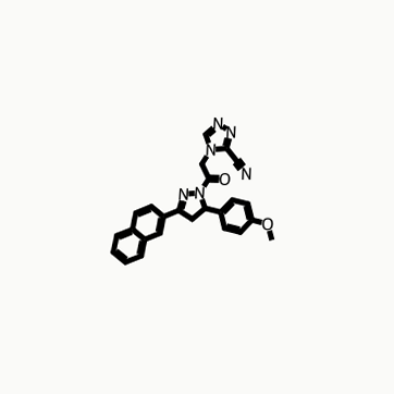 COc1ccc(C2CC(c3ccc4ccccc4c3)=NN2C(=O)Cn2cnnc2C#N)cc1